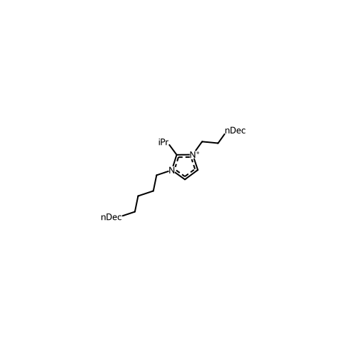 CCCCCCCCCCCCCCn1cc[n+](CCCCCCCCCCCC)c1C(C)C